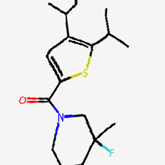 CC(C)c1cc(C(=O)N2CCCC(C)(F)C2)sc1C(C)C